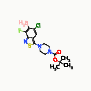 Bc1c(Cl)cc2c(N3CCN(C(=O)OC(C)(C)C)CC3)snc2c1F